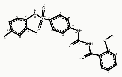 COc1ccccc1C(=O)NC(=S)Nc1ccc(S(=O)(=O)Nc2ccc(C)cc2C)cc1